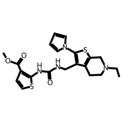 CCN1CCc2c(sc(-n3cccc3)c2CNC(=O)Nc2sccc2C(=O)OC)C1